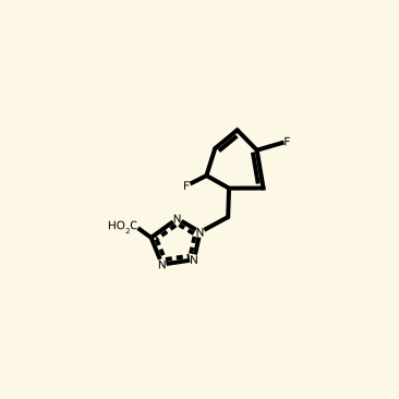 O=C(O)c1nnn(CC2C=C(F)C=CC2F)n1